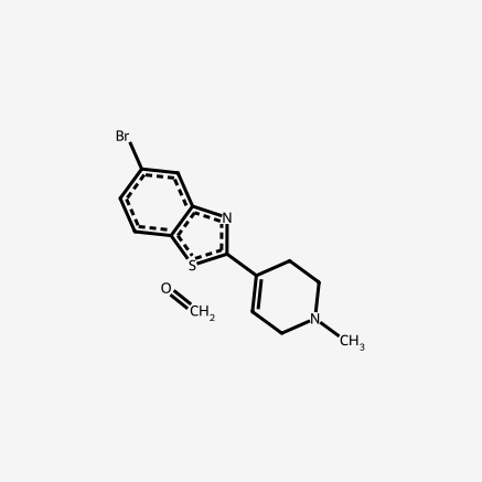 C=O.CN1CC=C(c2nc3cc(Br)ccc3s2)CC1